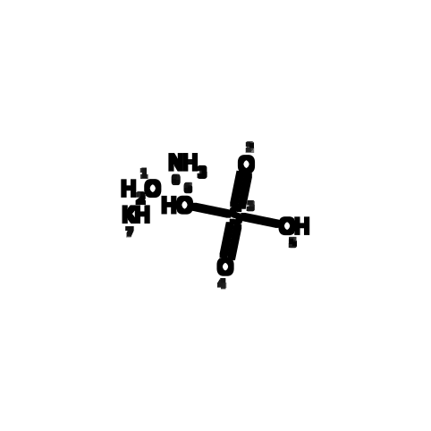 N.O.O=S(=O)(O)O.[KH]